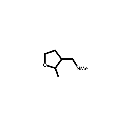 CNCC1CCOC1I